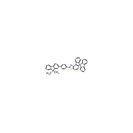 CC1(C)c2ccccc2-c2ccc(-c3ccc(-c4nc5c6c(ccc5s4)C4(c5ccccc5-c5ccccc54)c4ccccc4-6)cc3)cc21